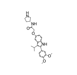 COc1ccc(-c2[nH]c3ccc(OCC(=O)N[C@@H]4CCNC4)cc3c2C(C)C)cc1OC